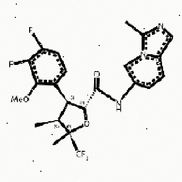 COc1c([C@H]2[C@H](C(=O)Nc3ccc4cnc(C)n4c3)O[C@@](C)(C(F)(F)F)[C@H]2C)ccc(F)c1F